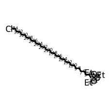 CCO[Si](CCCCCCCCCCCCCCCCCCCCCCCCCCCCCCCCCl)(OCC)OCC